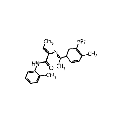 C/C=C(\N=C(/C)C1C=CC(C)=C(CCC)C1)C(=O)Nc1ccccc1C